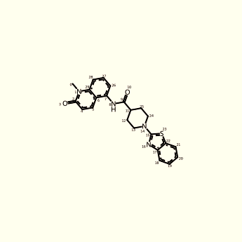 Cn1c(=O)ccc2c(NC(=O)C3CCN(c4nc5ccccc5s4)CC3)cccc21